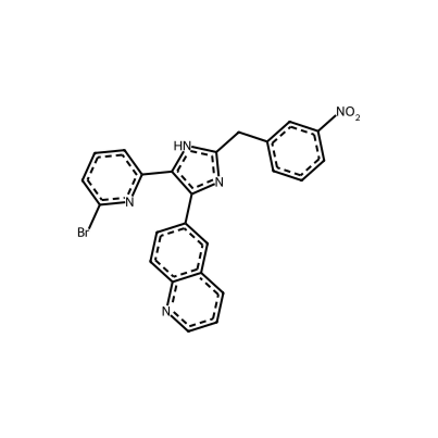 O=[N+]([O-])c1cccc(Cc2nc(-c3ccc4ncccc4c3)c(-c3cccc(Br)n3)[nH]2)c1